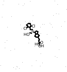 O=C(C=Cc1ccc2c(c1)CCC2N(CCO)CCc1c(Cl)cccc1Cl)NO